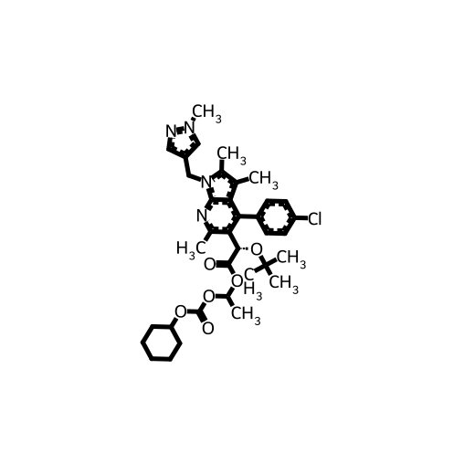 Cc1nc2c(c(C)c(C)n2Cc2cnn(C)c2)c(-c2ccc(Cl)cc2)c1[C@H](OC(C)(C)C)C(=O)OC(C)OC(=O)OC1CCCCC1